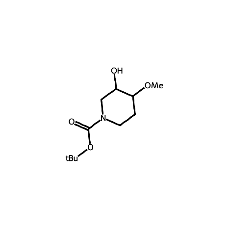 COC1CCN(C(=O)OC(C)(C)C)CC1O